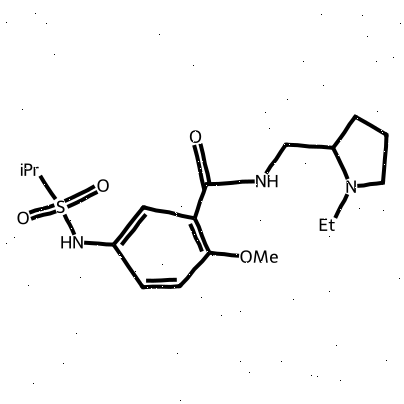 CCN1CCCC1CNC(=O)c1cc(NS(=O)(=O)C(C)C)ccc1OC